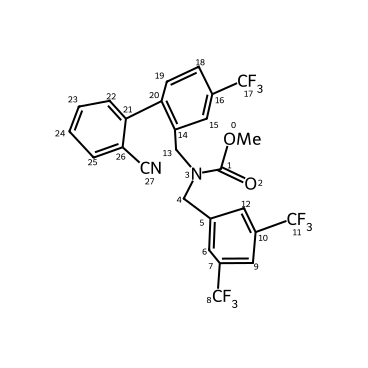 COC(=O)N(Cc1cc(C(F)(F)F)cc(C(F)(F)F)c1)Cc1cc(C(F)(F)F)ccc1-c1ccccc1C#N